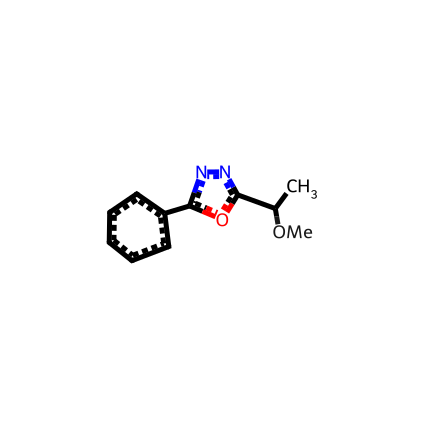 COC(C)c1nnc(-c2ccccc2)o1